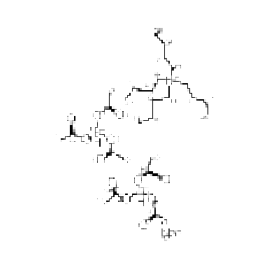 CC(=O)O[BH-](OC(C)=O)OC(C)=O.CC(=O)O[BH-](OC(C)=O)OC(C)=O.CCCC[N+](CCCC)(CCCC)CCCC.[Na+]